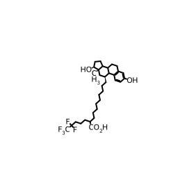 C[C@]12C[C@H](CCCCCCCCCC(CCCC(F)(F)C(F)(F)F)C(=O)O)C3c4ccc(O)cc4CCC3C1CC[C@@H]2O